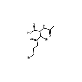 CC(=O)NC(C(=O)O)C(S)C(=O)CCCBr